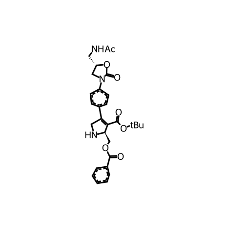 CC(=O)NC[C@H]1CN(c2ccc(C3=C(C(=O)OC(C)(C)C)[C@@H](COC(=O)c4ccccc4)NC3)cc2)C(=O)O1